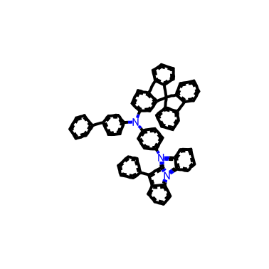 c1ccc(-c2ccc(N(c3ccc(-n4c5ccccc5n5c6ccccc6c(-c6ccccc6)c45)cc3)c3ccc4c(c3)C3(c5ccccc5-c5ccccc53)c3ccccc3-4)cc2)cc1